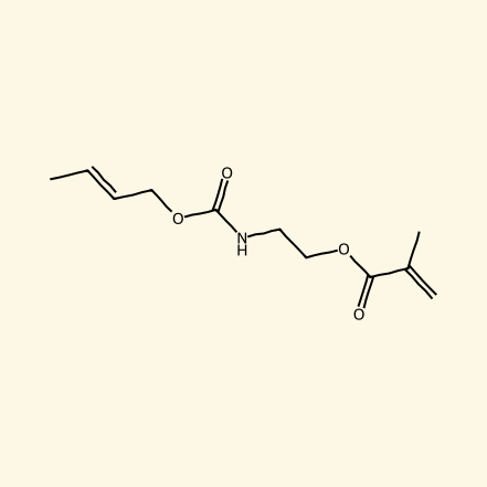 C=C(C)C(=O)OCCNC(=O)OCC=CC